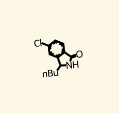 CCCCC1NC(=O)c2ccc(Cl)cc21